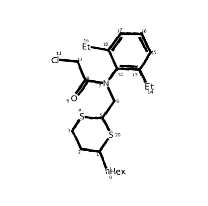 CCCCCCC1CCSC(CN(C(=O)CCl)c2c(CC)cccc2CC)S1